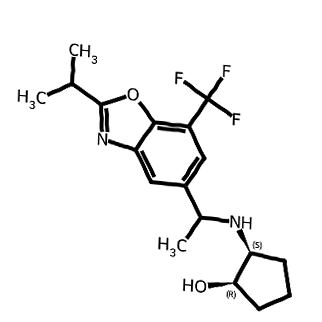 CC(C)c1nc2cc(C(C)N[C@H]3CCC[C@H]3O)cc(C(F)(F)F)c2o1